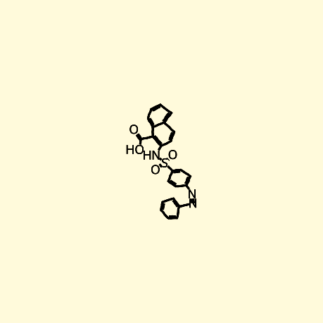 O=C(O)c1c(NS(=O)(=O)c2ccc(/N=N\c3ccccc3)cc2)ccc2ccccc12